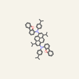 CC(C)C1=CC(N(c2ccc(C(C)C)cc2)c2cccc3c2oc2ccccc23)=C2C=CC3=C(C(C)C)C=C(N(c4ccc(C(C)C)cc4)c4cccc5c4oc4ccccc45)C4=CC=C1C2C43